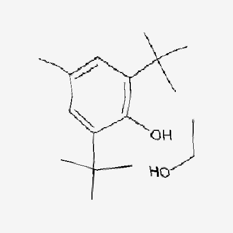 CCO.Cc1cc(C(C)(C)C)c(O)c(C(C)(C)C)c1